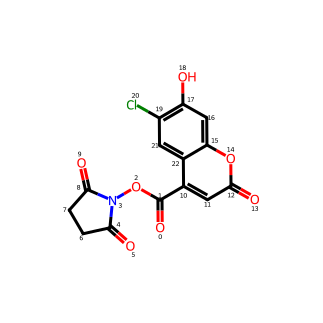 O=C(ON1C(=O)CCC1=O)c1cc(=O)oc2cc(O)c(Cl)cc12